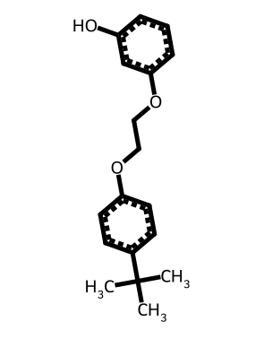 CC(C)(C)c1ccc(OCCOc2cccc(O)c2)cc1